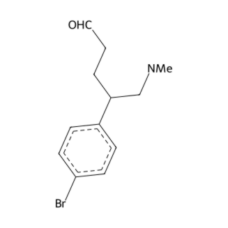 CNCC(CCC=O)c1ccc(Br)cc1